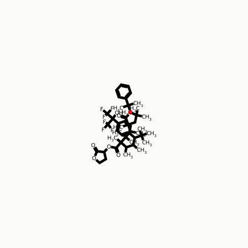 CC(C(c1ccc(C(O)(C(F)(F)F)C(F)(F)F)cc1)C(C)(C)C)C(C)C(C)(C(=O)OC1CCOC1=O)C(C)(C)C(C)C(C)(CC(C)(C)C)C(=O)OC(C)(C)c1ccccc1